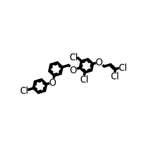 ClC(Cl)=CCOc1cc(Cl)c(OCc2cccc(Oc3ccc(Cl)cc3)c2)c(Cl)c1